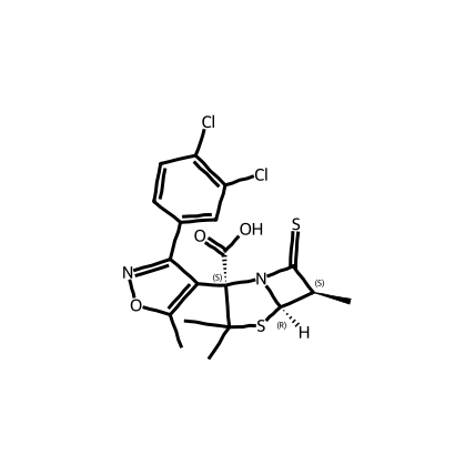 Cc1onc(-c2ccc(Cl)c(Cl)c2)c1[C@@]1(C(=O)O)N2C(=S)[C@@H](C)[C@H]2SC1(C)C